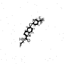 O=C(NCCF)c1ccc2cc(Oc3ccc(C(F)(F)F)cn3)ccc2n1